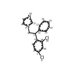 Clc1ccc(C(Cn2ccnc2)c2ccccc2)c(Cl)c1